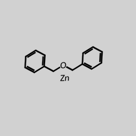 [Zn].c1ccc(COCc2ccccc2)cc1